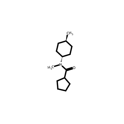 CN(C(=O)C1CCCC1)[C@H]1CC[C@H](C)CC1